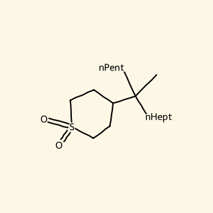 CCCCCCCC(C)(CCCCC)C1CCS(=O)(=O)CC1